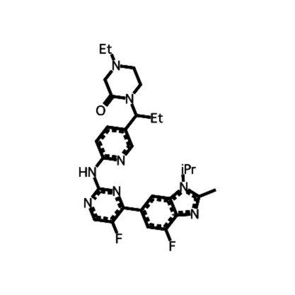 CCC(c1ccc(Nc2ncc(F)c(-c3cc(F)c4nc(C)n(C(C)C)c4c3)n2)nc1)N1CCN(CC)CC1=O